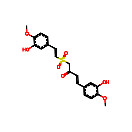 COc1ccc(C=CC(=O)CS(=O)(=O)/C=C/c2ccc(OC)c(O)c2)cc1O